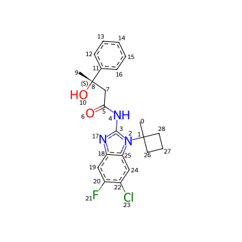 CC1(n2c(NC(=O)C[C@](C)(O)c3ccccc3)nc3cc(F)c(Cl)cc32)CCC1